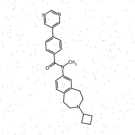 CN(C(=O)c1ccc(-c2cncnc2)cc1)c1ccc2c(c1)CCN(C1CCC1)CC2